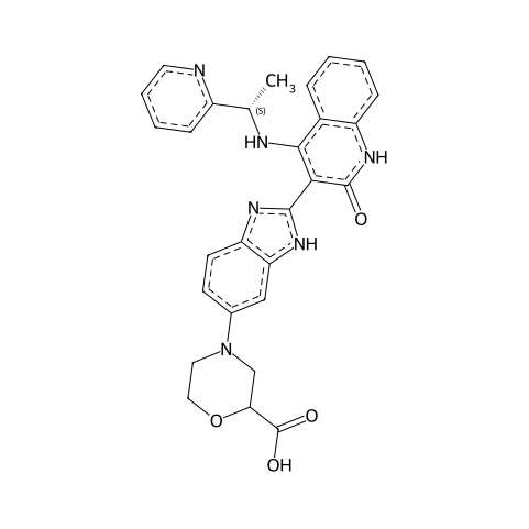 C[C@H](Nc1c(-c2nc3ccc(N4CCOC(C(=O)O)C4)cc3[nH]2)c(=O)[nH]c2ccccc12)c1ccccn1